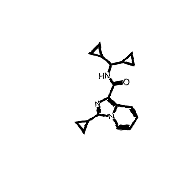 O=C(NC(C1CC1)C1CC1)c1nc(C2CC2)n2ccccc12